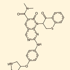 CN(C)C(=O)c1cc2cnc(Nc3ccc(OC4CCNC4)cc3)nc2n(C2CSc3ccccc3C2=O)c1=O